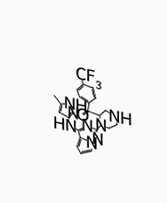 Cc1cc(Nc2nc(N3CCNCC3C(=O)c3ccc(C(F)(F)F)cc3)nn3cccc23)n[nH]1